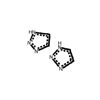 c1c[nH]nn1.c1c[nH]nn1